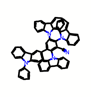 N#Cc1c(-n2c3ccccc3c3ccccc32)c(-c2ccc3c(c2)c2ccccc2n3-c2ccccc2)cc(-n2c3ccccc3c3ccccc32)c1-n1c2ccccc2c2ccccc21